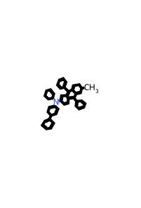 CC1C=c2c(-c3ccccc3)c3ccc(N(C4=CCC(c5ccccc5)C=C4)C4C=CCCC4)cc3c(-c3ccccc3)c2=CC1